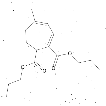 CCCOC(=O)C1=CC=C(C)CCC1C(=O)OCCC